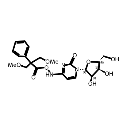 COCC(COC)(C(=O)ONc1ccn([C@@H]2O[C@H](CO)[C@@H](O)[C@H]2O)c(=O)n1)c1ccccc1